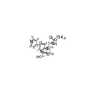 COC(=O)NC[N+]1(c2ccc(-c3ccncc3)cn2)CCOC1=O.Cl